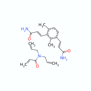 C=CCN(CC=C)C(=O)C=C.Cc1ccc(C=CC(N)=O)c(C)c1C=CC(N)=O